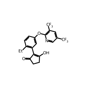 CCc1ccc(Oc2ncc(C(F)(F)F)cc2C(F)(F)F)cc1C1=C(O)CCC1=O